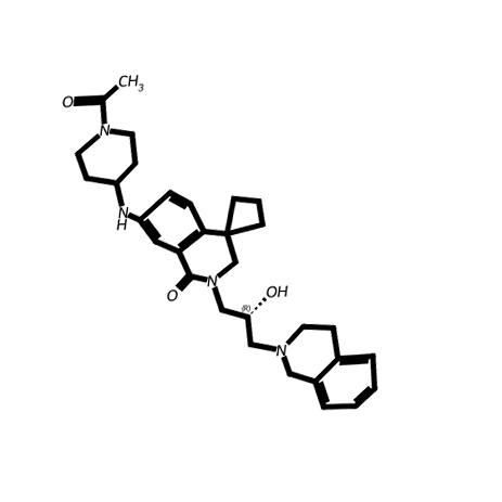 CC(=O)N1CCC(Nc2ccc3c(c2)C(=O)N(C[C@H](O)CN2CCc4ccccc4C2)CC32CCC2)CC1